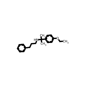 CCOc1ccc(C(C)(C)NCCCc2ccccc2)cc1